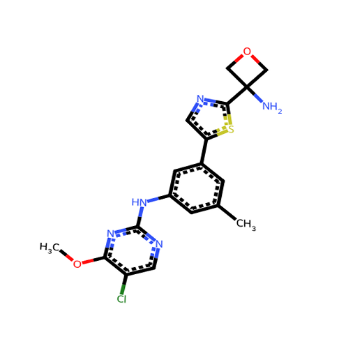 COc1nc(Nc2cc(C)cc(-c3cnc(C4(N)COC4)s3)c2)ncc1Cl